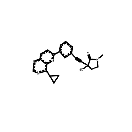 CN1CCC(O)(C#Cc2cccc(-c3ccc4ncnc(C5CC5)c4n3)c2)C1=O